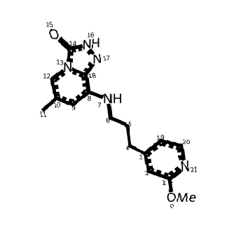 COc1cc(CCCNc2cc(C)cn3c(=O)[nH]nc23)ccn1